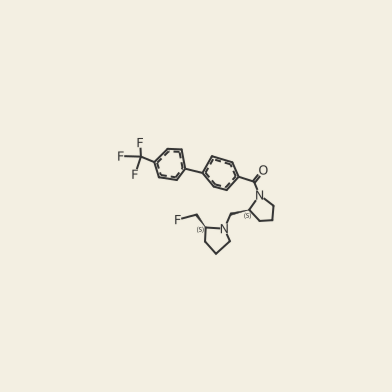 O=C(c1ccc(-c2ccc(C(F)(F)F)cc2)cc1)N1CCC[C@H]1CN1CCC[C@H]1CF